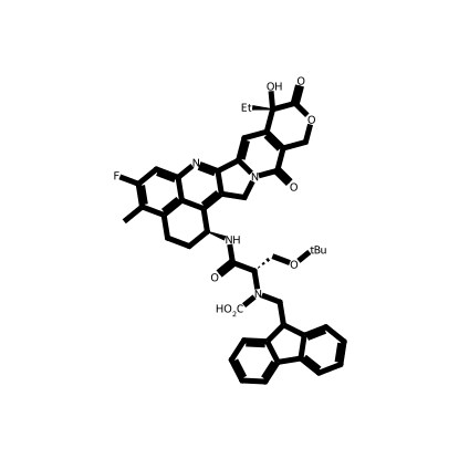 CC[C@@]1(O)C(=O)OCc2c1cc1n(c2=O)Cc2c-1nc1cc(F)c(C)c3c1c2[C@@H](NC(=O)[C@H](COC(C)(C)C)N(CC1c2ccccc2-c2ccccc21)C(=O)O)CC3